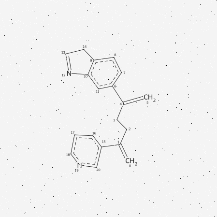 C=C(CCC(=C)c1ccc2c(c1)N=CC2)c1cccnc1